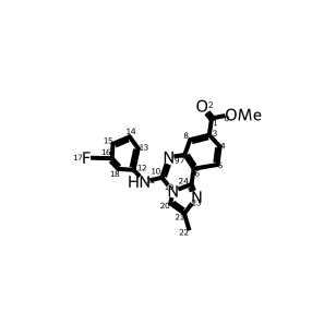 COC(=O)c1ccc2c(c1)nc(Nc1cccc(F)c1)n1cc(C)nc21